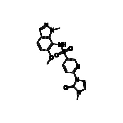 COc1ccc2cnn(C)c2c1NS(=O)(=O)c1ccc(-n2ccn(C)c2=O)nc1